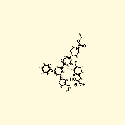 CCOC(=O)N1CCN(C(=O)[C@H](Cc2ccc(CP(=O)(O)O)cc2)NC(=O)c2cc(N3CC[C@H](OC)C3)nc(-c3ccccc3)n2)CC1